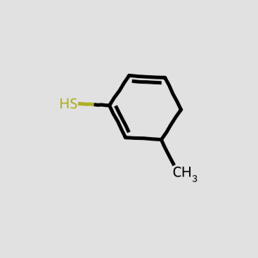 CC1C=C(S)C=CC1